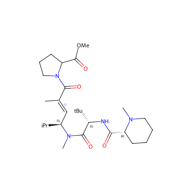 COC(=O)C1CCCN1C(=O)/C(C)=C/[C@H](C(C)C)N(C)C(=O)[C@@H](NC(=O)[C@H]1CCCCN1C)C(C)(C)C